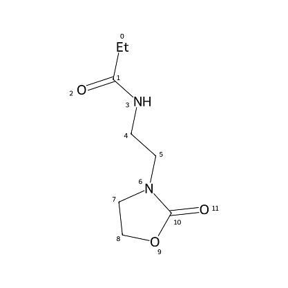 CCC(=O)NCCN1CCOC1=O